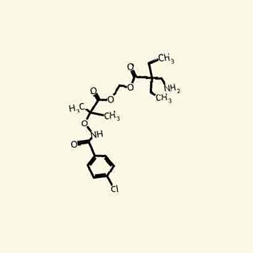 CCC(CC)(CN)C(=O)OCOC(=O)C(C)(C)ONC(=O)c1ccc(Cl)cc1